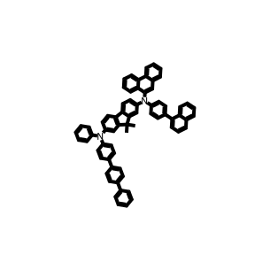 CC1(C)c2cc(N(c3ccccc3)c3ccc(-c4ccc(-c5ccccc5)cc4)cc3)ccc2-c2ccc(N(c3ccc(-c4cccc5ccccc45)cc3)c3cc4ccccc4c4ccccc34)cc21